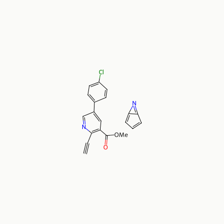 C#Cc1ncc(-c2ccc(Cl)cc2)cc1C(=O)OC.c1cc2nc-2c1